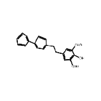 COc1cc(CCc2ccc(-c3ccccc3)cc2)cc(C=O)c1O